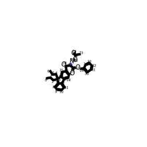 CCCC1(CCC)c2ccccc2-c2ccc(C(=O)/C(=N/OC(C)=O)C(=O)OCc3ccccc3)cc21